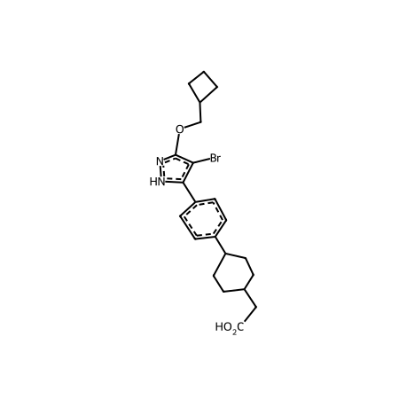 O=C(O)CC1CCC(c2ccc(-c3[nH]nc(OCC4CCC4)c3Br)cc2)CC1